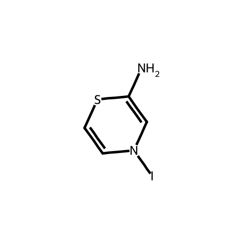 NC1=CN(I)C=CS1